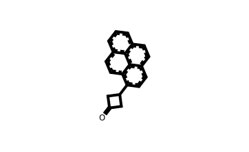 O=C1CC(c2ccc3ccc4cccc5ccc2c3c45)C1